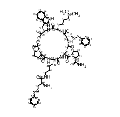 CN(C)CCCC[C@@H]1NC(=O)[C@H](CSSc2ccccn2)NC(=O)C[C@@H](C(=O)N2CCC[C@H]2C(N)=O)NC(=O)[C@H](CCCCNC(=O)[C@@H](N)CSSc2ccccn2)NC(=O)[C@@H]2CCCN2C(=O)COC(=O)[C@H](Cc2c[nH]c3ccccc23)NC1=O